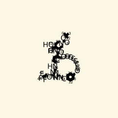 CC(C)(C)OC(=O)N1CCC(NC(=O)c2ccc3cc2OCCCCCCOc2ccc(cc2)CNc2nc(nc(OCC(F)(F)F)n2)N3)(C(=O)O)CC1